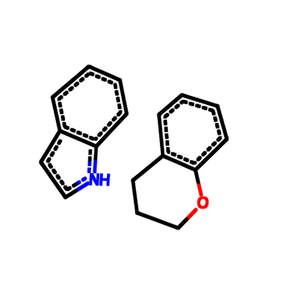 c1ccc2[nH]ccc2c1.c1ccc2c(c1)CCCO2